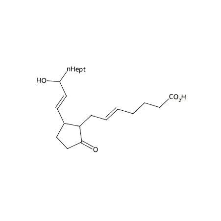 CCCCCCCC(O)C=CC1CCC(=O)C1CC=CCCCC(=O)O